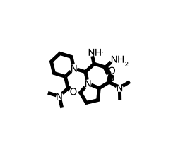 CN(C)C(=O)C1CCCCN1C(C([NH])C(N)=O)N1CCCC1C(=O)N(C)C